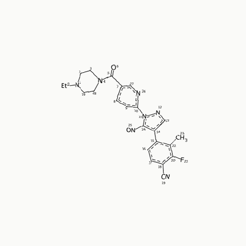 CCN1CCN(C(=O)c2ccc(-n3ncc(-c4ccc(C#N)c(F)c4C)c3N=O)nc2)CC1